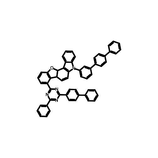 C1=CC2c3c(cccc3-c3nc(-c4ccccc4)nc(-c4ccc(-c5ccccc5)cc4)n3)OC2c2c1n(-c1cccc(-c3ccc(-c4ccccc4)cc3)c1)c1ccccc21